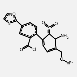 CCCOCC1=CC=C(c2ccc(-c3ncco3)cc2C(=O)Cl)C(=S(=O)=O)C1N